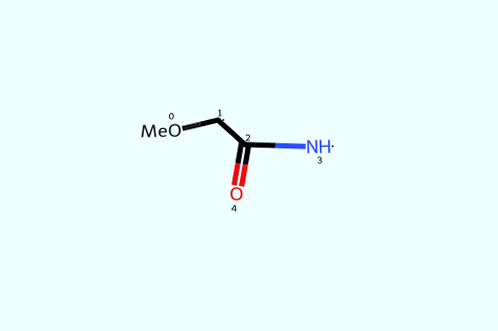 CO[CH]C([NH])=O